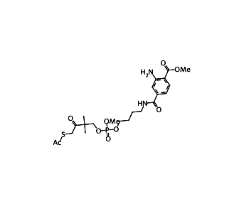 COC(=O)c1ccc(C(=O)NCCCCOP(=O)(OC)OCC(C)(C)C(=O)CSC(C)=O)cc1N